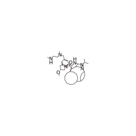 CNCCN(C)Cc1cccc(C2NC3C4CN(C5CCC(CC5)C5CCCCCCC2(CCC5)C4C(=O)N2CCC(OC)C2)N3C(C)C)c1